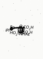 CC(=O)N[C@@H](CC(=O)O)C(=O)N[C@@H](CC(=O)O)C(=O)N[C@@H](CCC(=O)O)C(=O)NCCCCCCOc1ccc(C(C)C)cc1F